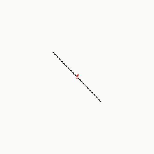 CCCCCCCCCCCCCCCCCCCCCCCCCCCOC(=O)CCCCCCCCCCCCCCCCCCCCCCCCCCC